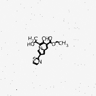 CCOC(=O)c1cc2cc(-c3nccs3)cn2c(C(C)O)c1C